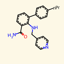 CCCc1ccc(-c2cccc(C(N)=O)c2NCc2ccncc2)cc1